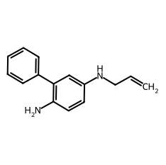 C=CCNc1ccc(N)c(-c2ccccc2)c1